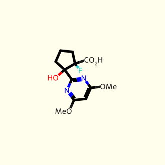 COc1cc(OC)nc(C2(O)CCCC2(F)C(=O)O)n1